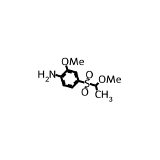 COc1cc(S(=O)(=O)C(C)OC)ccc1N